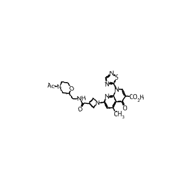 CC(=O)N1CCOC(CNC(=O)C2CN(c3cc(C)c4c(=O)c(C(=O)O)cn(-c5ncns5)c4n3)C2)C1